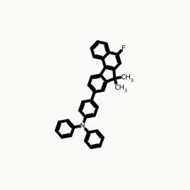 CC1(C)c2cc(-c3ccc(N(c4ccccc4)c4ccccc4)cc3)ccc2-c2c1cc(F)c1ccccc21